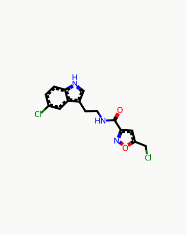 O=C(NCCc1c[nH]c2ccc(Cl)cc12)c1cc(CCl)on1